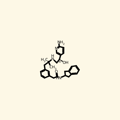 CC(C)(Cc1cccc(CC(=O)NC2Cc3ccccc3C2)c1)NC[C@H](O)c1ccc(N)nc1